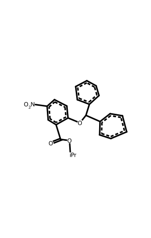 CC(C)OC(=O)c1cc([N+](=O)[O-])ccc1OC(c1ccccc1)c1ccccc1